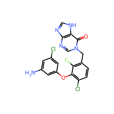 Nc1cc(Cl)cc(Oc2c(Cl)ccc(Cn3cnc4nc[nH]c4c3=O)c2F)c1